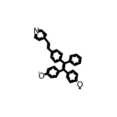 COc1ccc(C(=C(c2ccccc2)c2ccc(C=Cc3ccncc3)cc2)c2ccc(OC)cc2)cc1